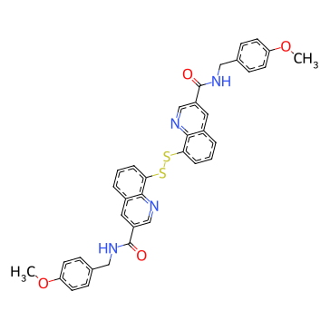 COc1ccc(CNC(=O)c2cnc3c(SSc4cccc5cc(C(=O)NCc6ccc(OC)cc6)cnc45)cccc3c2)cc1